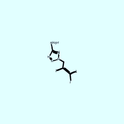 CCCCCCCc1nnn(CC(I)=C(I)I)n1